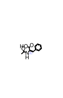 CC(=O)N/C(=C/c1ccccc1)C(=O)O